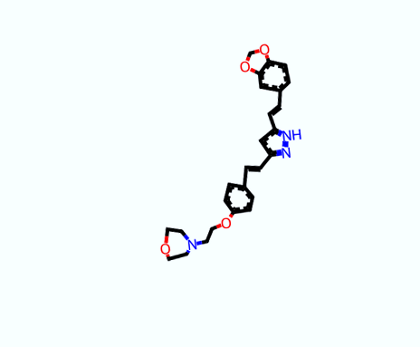 C(=Cc1cc(C=Cc2ccc3c(c2)OCO3)[nH]n1)c1ccc(OCCN2CCOCC2)cc1